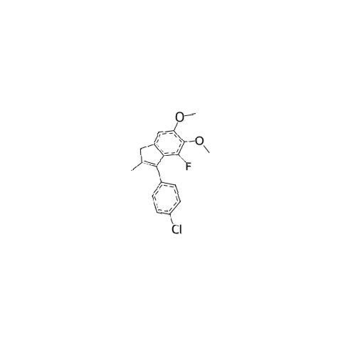 COc1cc2c(c(F)c1OC)C(c1ccc(Cl)cc1)=C(C)C2